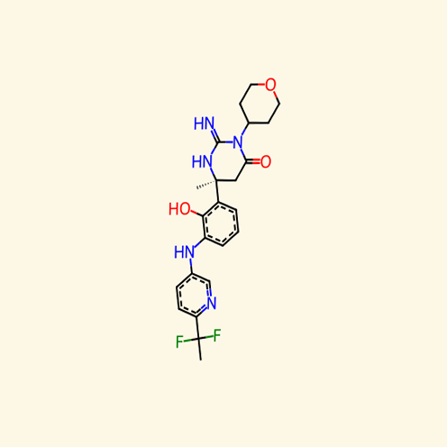 CC(F)(F)c1ccc(Nc2cccc([C@]3(C)CC(=O)N(C4CCOCC4)C(=N)N3)c2O)cn1